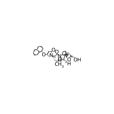 CC(C)C[C@@H](C(=O)Nc1ccn(C[C@@H](O)CO)n1)N1CC(Oc2cccc3ccccc23)=CC1=O